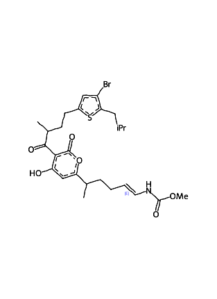 COC(=O)N/C=C/CCC(C)c1cc(O)c(C(=O)C(C)CCc2cc(Br)c(CC(C)C)s2)c(=O)o1